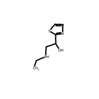 CCNCC(O)c1nccs1